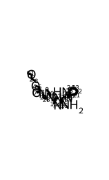 COCCOCC(=O)N1CCN(c2cnc(N)c(-c3nc4ccccc4[nH]3)n2)CC1